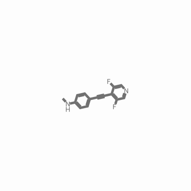 CNc1ccc(C#Cc2c(F)cncc2F)cc1